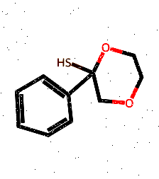 SC1(c2ccccc2)COCCO1